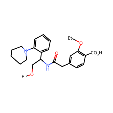 CCOCC(NC(=O)Cc1ccc(C(=O)O)c(OCC)c1)c1ccccc1N1CCCCC1